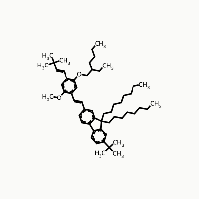 CCCCCCCCC1(CCCCCCCC)c2cc(/C=C/c3cc(OCC(CC)CCCC)c(/C=C/C(C)(C)C)cc3OC)ccc2-c2ccc(C(C)(C)C)cc21